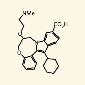 CNCCO[C@@H]1COc2ccccc2-c2c(C3CCCCC3)c3ccc(C(=O)O)cc3n2C1